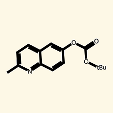 Cc1ccc2cc(OC(=O)OC(C)(C)C)ccc2n1